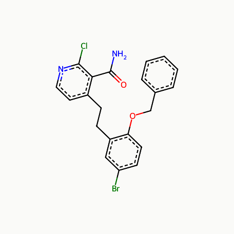 NC(=O)c1c(CCc2cc(Br)ccc2OCc2ccccc2)ccnc1Cl